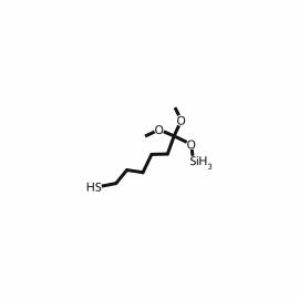 COC(CCCCCS)(OC)O[SiH3]